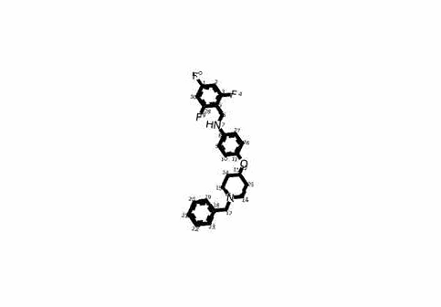 Fc1cc(F)c(CNc2ccc(OC3CCN(Cc4ccccc4)CC3)cc2)c(F)c1